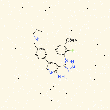 COc1cccc(-n2nnnc2-c2cc(-c3ccc(CN4CCCC4)cc3)cnc2N)c1F